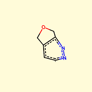 [c]1cc2c(nn1)COC2